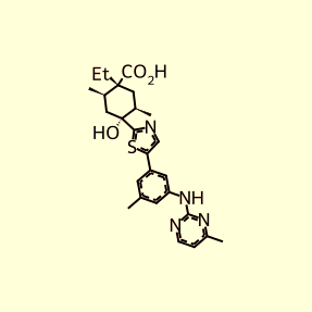 CC[C@@]1(C(=O)O)C[C@@H](C)[C@@](O)(c2ncc(-c3cc(C)cc(Nc4nccc(C)n4)c3)s2)C[C@H]1C